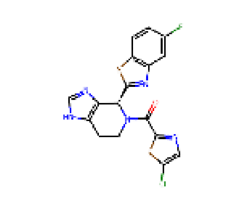 O=C(c1ncc(Cl)s1)N1CCc2[nH]cnc2[C@H]1c1nc2cc(F)ccc2s1